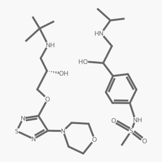 CC(C)(C)NC[C@H](O)COc1nsnc1N1CCOCC1.CC(C)NCC(O)c1ccc(NS(C)(=O)=O)cc1